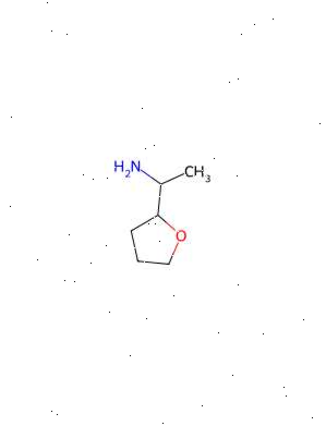 CC(N)C1CCCO1